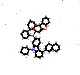 c1ccc(-c2ccccc2N(c2ccc3c(c2)oc2ccccc23)c2ccc3c4c(-c5ccc6ccccc6c5)cccc4n(-c4ccccc4)c3c2)cc1